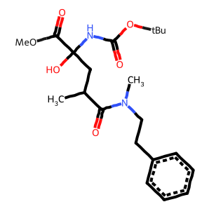 COC(=O)C(O)(CC(C)C(=O)N(C)CCc1ccccc1)NC(=O)OC(C)(C)C